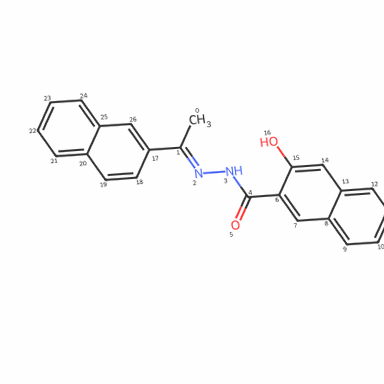 C/C(=N\NC(=O)c1cc2ccccc2cc1O)c1ccc2ccccc2c1